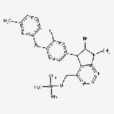 Cc1ccnc(Oc2ccc(C3c4c(CO[Si](C)(C)C(C)(C)C)ncnc4N(C)C3Br)cc2F)n1